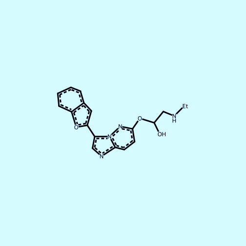 CCNCC(O)Oc1ccc2ncc(-c3cc4ccccc4o3)n2n1